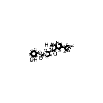 Cn1cc(-c2cnc(N)c(C(=O)N[C@@H]3CCN(C(=O)Oc4cccc(O)c4)C3)c2)cn1